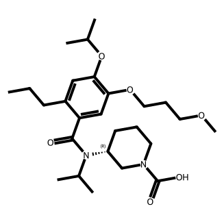 CCCc1cc(OC(C)C)c(OCCCOC)cc1C(=O)N(C(C)C)[C@@H]1CCCN(C(=O)O)C1